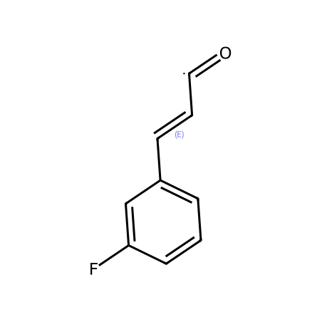 O=[C]/C=C/c1cccc(F)c1